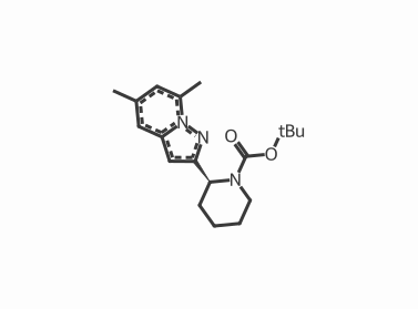 Cc1cc(C)n2nc([C@@H]3CCCCN3C(=O)OC(C)(C)C)cc2c1